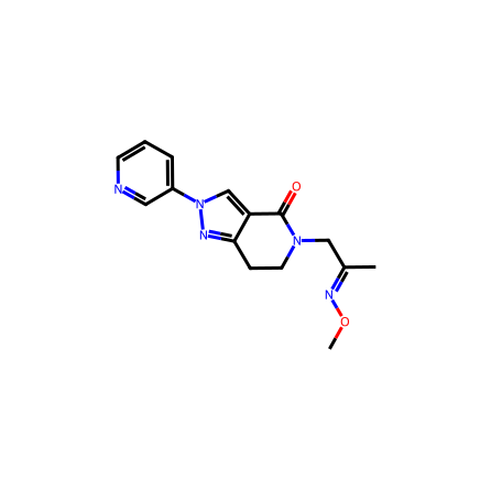 CON=C(C)CN1CCc2nn(-c3cccnc3)cc2C1=O